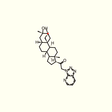 CSC[C@]12CC[C@@](C)(O)C[C@H]1CC[C@H]1[C@@H]3CC[C@H](C(=O)Cn4nnc5cccnc54)[C@@]3(C)CC[C@@H]12